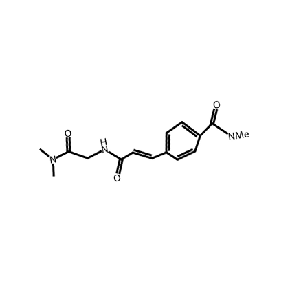 CNC(=O)c1ccc(/C=C/C(=O)NCC(=O)N(C)C)cc1